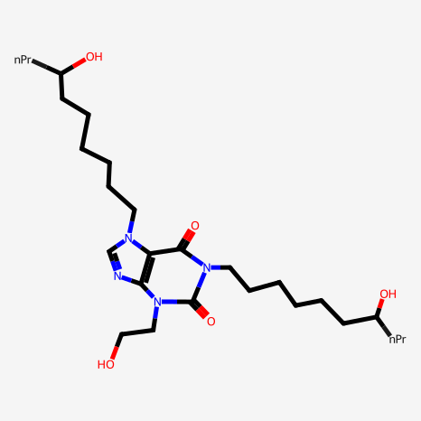 CCCC(O)CCCCCCn1c(=O)c2c(ncn2CCCCCCC(O)CCC)n(CCO)c1=O